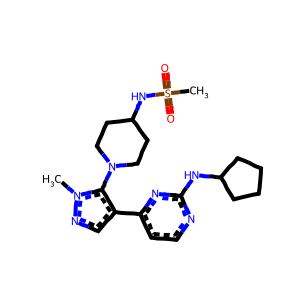 Cn1ncc(-c2ccnc(NC3CCCC3)n2)c1N1CCC(NS(C)(=O)=O)CC1